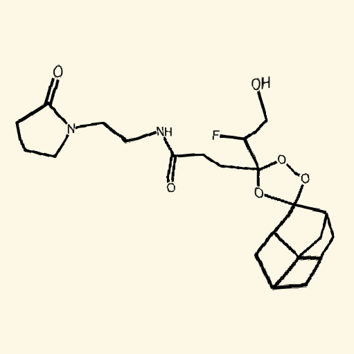 O=C(CCC1(C(F)CO)OOC2(O1)C1CC3CC(C1)CC2C3)NCCN1CCCC1=O